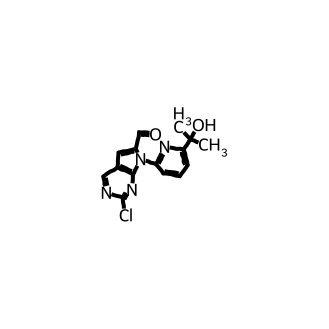 CC(C)(O)c1cccc(-n2c(C=O)cc3cnc(Cl)nc32)n1